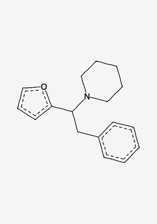 c1ccc(CC(c2ccco2)N2CCCCC2)cc1